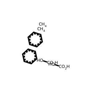 C.C.O=C(O)O.O=C(O)O.c1ccccc1.c1ccccc1